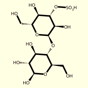 O=S(=O)(O)O[C@@H]1[C@@H](O)[C@@H](O[C@H]2[C@H](O)[C@@H](O)[C@H](O)O[C@@H]2CO)O[C@H](CO)[C@H]1O